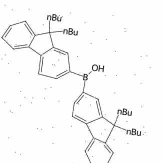 CCCCC1(CCCC)c2ccccc2-c2ccc(B(O)c3ccc4c(c3)C(CCCC)(CCCC)c3ccccc3-4)cc21